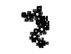 Cn1cc(-c2cc(Oc3ccc(F)c(NC(=O)Nc4cc(Cl)cc(N5CCC(=O)C5)c4)c3)ccn2)cn1